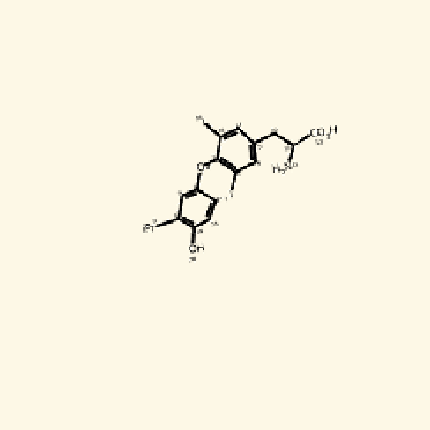 CC(C)c1cc(Oc2c(I)cc(C[C@H](N)C(=O)O)cc2I)ccc1O